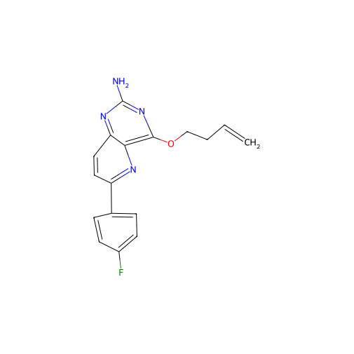 C=CCCOc1nc(N)nc2ccc(-c3ccc(F)cc3)nc12